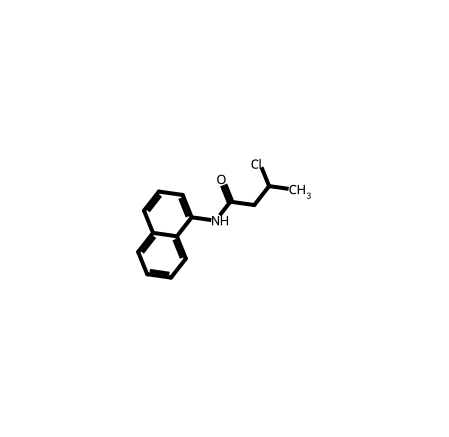 CC(Cl)CC(=O)Nc1cccc2ccccc12